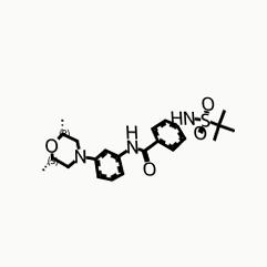 C[C@@H]1CN(c2cccc(NC(=O)c3ccc(NS(=O)(=O)C(C)(C)C)cc3)c2)C[C@H](C)O1